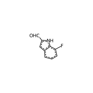 O=Cc1cc2cccc(F)c2[nH]1